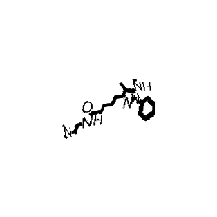 CNc1c(C)c(CCCCC(=O)NCCN(C)C)nn1-c1ccccc1